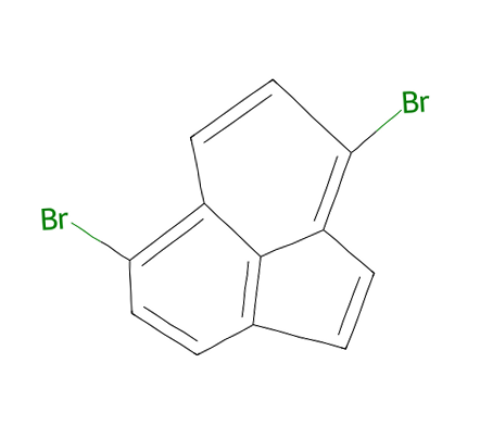 Brc1ccc2c(Br)ccc3c2c1C=C3